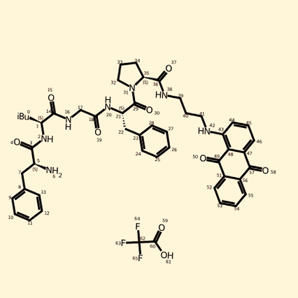 CCC(C)[C@H](NC(=O)[C@@H](N)Cc1ccccc1)C(=O)NCC(=O)N[C@@H](Cc1ccccc1)C(=O)N1CCC[C@H]1C(=O)NCCCNc1cccc2c1C(=O)c1ccccc1C2=O.O=C(O)C(F)(F)F